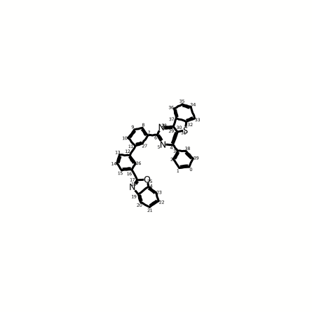 c1ccc(-c2nc(-c3cccc(-c4cccc(-c5nc6ccccc6o5)c4)c3)nc3c2sc2ccccc23)cc1